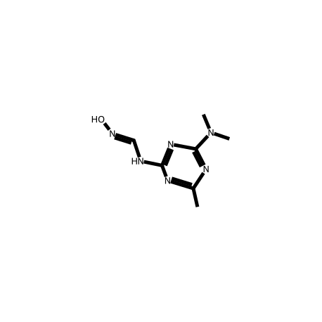 Cc1nc(NC=NO)nc(N(C)C)n1